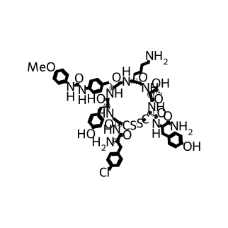 COc1ccc(NC(=O)Nc2ccc(C[C@H]3NC(O)[C@H](Cc4ccc(O)cc4)NC(=O)[C@H](NC(=O)[C@@H](N)Cc4ccc(Cl)cc4)CSSC[C@@H](C(=O)NC(Cc4ccc(O)cc4)C(N)=O)NC(=O)[C@H]([C@@H](C)O)NC(=O)[C@H](CCCCN)NC3=O)cc2)cc1